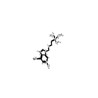 C[Si](C)(C)CCOCn1cnc2c(Br)c[n+]([O-])cc21